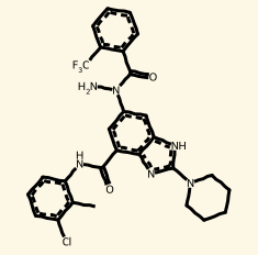 Cc1c(Cl)cccc1NC(=O)c1cc(N(N)C(=O)c2ccccc2C(F)(F)F)cc2[nH]c(N3CCCCC3)nc12